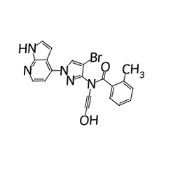 Cc1ccccc1C(=O)N(C#CO)c1nn(-c2ccnc3[nH]ccc23)cc1Br